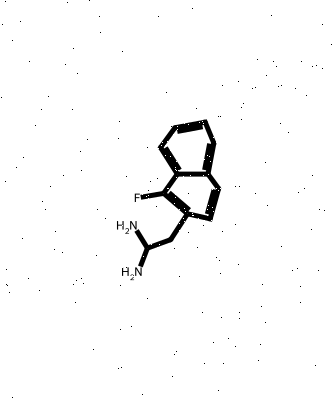 NC(N)Cc1ccc2ccccc2c1F